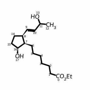 CCOC(=O)CCCCCC[C@@H]1[C@H](C=CC(C)O)CC[C@@H]1O